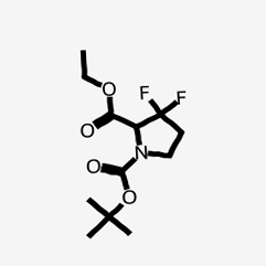 CCOC(=O)C1N(C(=O)OC(C)(C)C)CCC1(F)F